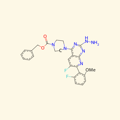 COc1cccc(F)c1-c1nc2nc(NN)nc(N3CCN(C(=O)OCc4ccccc4)CC3)c2cc1F